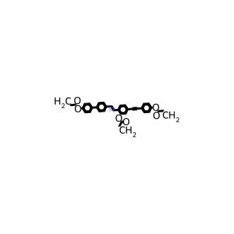 C=CC(=O)Oc1ccc(C#Cc2ccc(/C=C/c3ccc(-c4ccc(OC(=O)C=C)cc4)cc3)c(OC(=O)C=C)c2)cc1